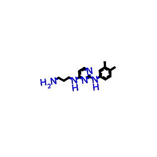 Cc1ccc(Nc2nccc(NCCCN)n2)cc1C